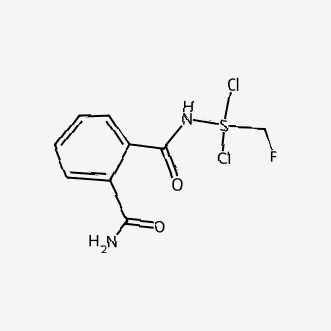 NC(=O)c1ccccc1C(=O)NS(Cl)(Cl)CF